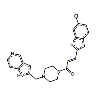 O=C(/C=C/c1cc2ccc(Cl)cc2s1)N1CCN(Cc2cc3cnccc3[nH]2)CC1